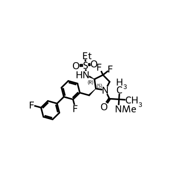 CCS(=O)(=O)N[C@@H]1[C@H](Cc2cccc(-c3cccc(F)c3)c2F)N(C(=O)C(C)(C)NC)CC1(F)F